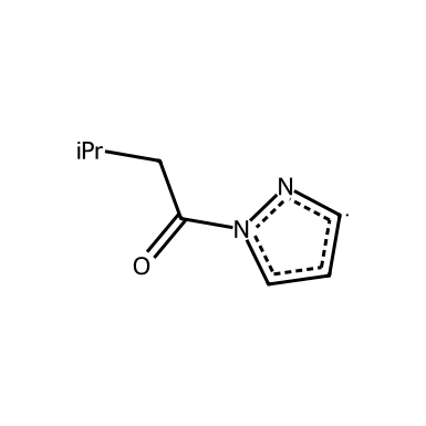 CC(C)CC(=O)n1cc[c]n1